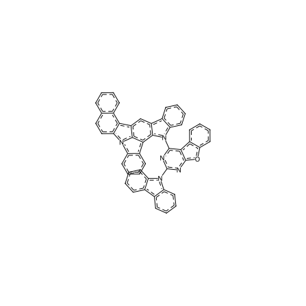 c1ccc2c(c1)ccc1c2c2cc3c4ccccc4n(-c4nc(-n5c6ccccc6c6ccccc65)nc5oc6ccccc6c45)c3c3c4ccccc4n1c23